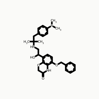 CN(C)c1ccc(CC(C)(C)NCC(O)c2ccc(OCc3ccccc3)c3c2OCC(=O)N3)cc1